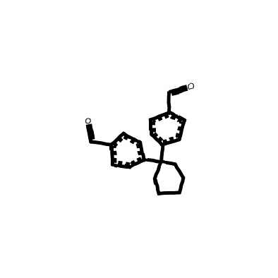 O=Cc1ccc(C2(c3ccc(C=O)cc3)CCCCC2)cc1